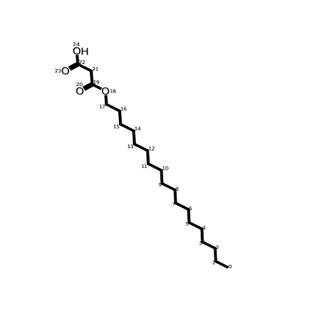 CCCCCCCCCCCCCCCCCCOC(=O)CC(=O)O